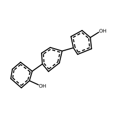 Oc1ccc(-c2ccc(-c3ccccc3O)cc2)cc1